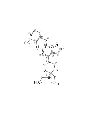 CCNC1(CC)CCN(c2ncc(Sc3cccc(Cl)c3Cl)c3nncn23)CC1